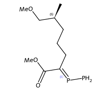 COC[C@@H](C)CCC/C(=P\P)C(=O)OC